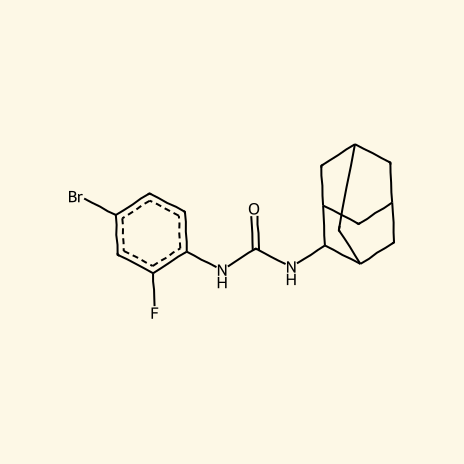 O=C(Nc1ccc(Br)cc1F)NC1C2CC3CC(C2)CC1C3